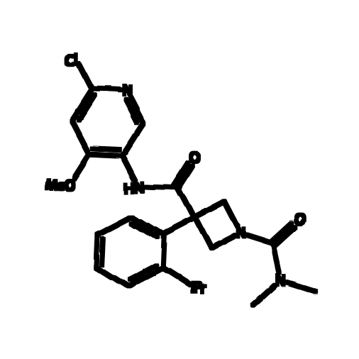 COc1cc(Cl)ncc1NC(=O)C1(c2ccccc2C(C)C)CN(C(=O)N(C)C)C1